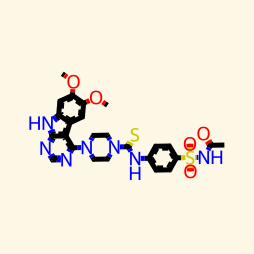 COc1cc2[nH]c3ncnc(N4CCN(C(=S)Nc5ccc(S(=O)(=O)NC(C)=O)cc5)CC4)c3c2cc1OC